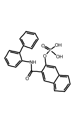 O=C(Nc1ccccc1-c1ccccc1)c1cc2ccccc2cc1OP(=O)(O)O